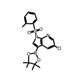 Cc1ccccc1S(=O)(=O)n1cc(B2OC(C)(C)C(C)(C)O2)c2cc(Cl)cnc21